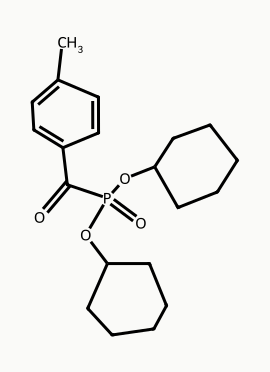 Cc1ccc(C(=O)P(=O)(OC2CCCCC2)OC2CCCCC2)cc1